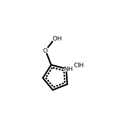 Cl.OOc1ccc[nH]1